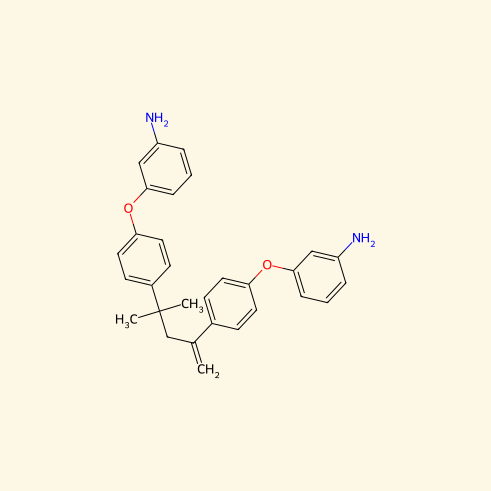 C=C(CC(C)(C)c1ccc(Oc2cccc(N)c2)cc1)c1ccc(Oc2cccc(N)c2)cc1